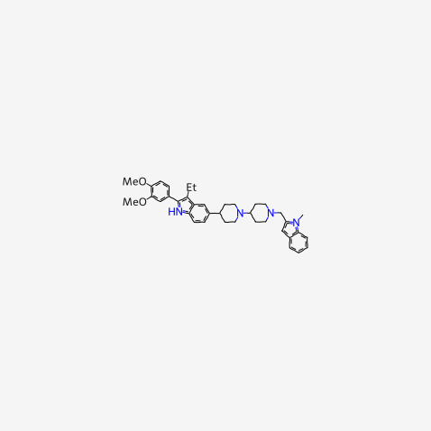 CCc1c(-c2ccc(OC)c(OC)c2)[nH]c2ccc(C3CCN(C4CCN(Cc5cc6ccccc6n5C)CC4)CC3)cc12